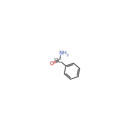 N[13C](=O)c1ccccc1